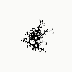 CCCC(=O)O[C@@H]1[C@@H](C)[C@@]2(O)[C@@H](CC(CO)C[C@]3(O)C(=O)C(C)=C[C@@H]23)[C@H]2C(C)(C)[C@]12OC(=O)CCC